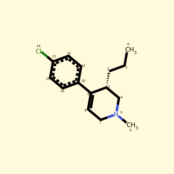 CCC[C@@H]1CN(C)CC=C1c1ccc(Cl)cc1